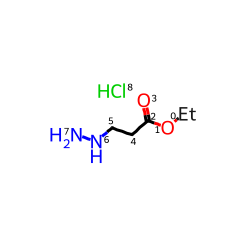 CCOC(=O)CCNN.Cl